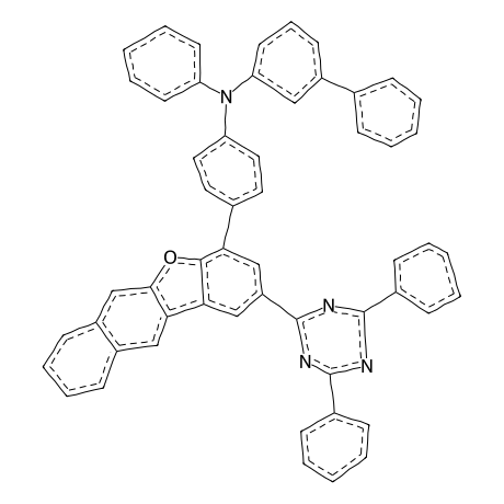 c1ccc(-c2cccc(N(c3ccccc3)c3ccc(-c4cc(-c5nc(-c6ccccc6)nc(-c6ccccc6)n5)cc5c4oc4cc6ccccc6cc45)cc3)c2)cc1